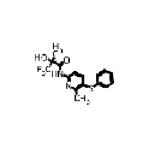 Cc1nc(NC(=O)[C@@](C)(O)C(F)(F)F)ccc1Sc1ccccc1